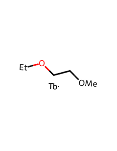 CCOCCOC.[Tb]